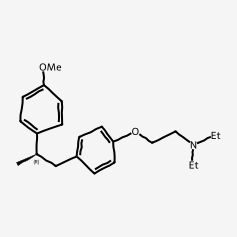 CCN(CC)CCOc1ccc(C[C@@H](C)c2ccc(OC)cc2)cc1